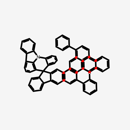 c1ccc(-c2ccc(-c3ccccc3N(c3cccc(-c4ccc5c(c4)C4(c6ccccc6-5)c5ccccc5-n5c6ccccc6c6cccc4c65)c3)c3ccccc3-c3ccccc3-c3ccccc3)cc2)cc1